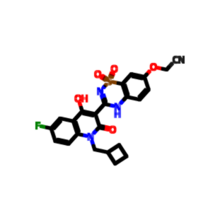 N#CCOc1ccc2c(c1)S(=O)(=O)N=C(c1c(O)c3cc(F)ccc3n(CC3CCC3)c1=O)N2